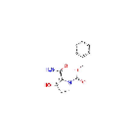 NC(=O)[C@@H]1[C@@H](O)CCN1C(=O)OCc1ccccc1